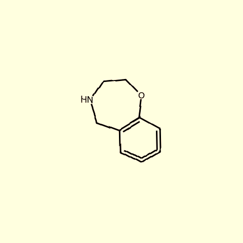 C1=C=CC2=C(C=1)CNCCO2